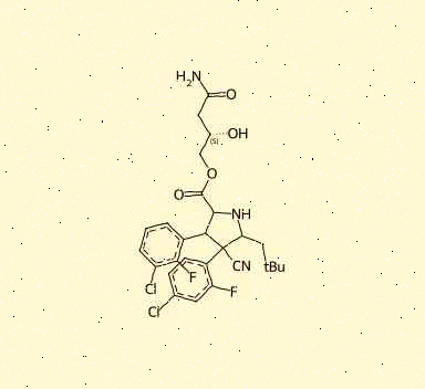 CC(C)(C)CC1NC(C(=O)OC[C@@H](O)CC(N)=O)C(c2cccc(Cl)c2F)C1(C#N)c1ccc(Cl)cc1F